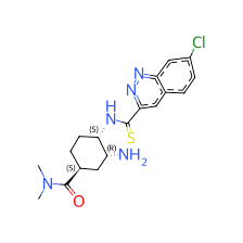 CN(C)C(=O)[C@H]1CC[C@H](NC(=S)c2cc3ccc(Cl)cc3nn2)[C@H](N)C1